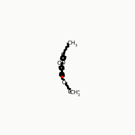 [CH2+][CH-]CCCCCOCCC12CCC(c3ccc(C(=O)Oc4ccc(OCCCCCCC)cc4)cc3)(CC1)CC2